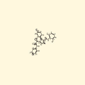 Cc1cccc(C)c1CSc1ncc(C(=O)N(C)Cc2ccncc2)n1-c1ccc(F)cc1